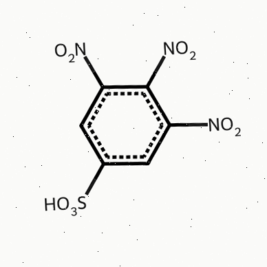 O=[N+]([O-])c1cc(S(=O)(=O)O)cc([N+](=O)[O-])c1[N+](=O)[O-]